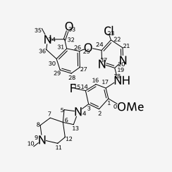 COc1cc(N2CC3(CCN(C)CC3)C2)c(F)cc1Nc1ncc(Cl)c(Oc2cccc3c2C(=O)N(C)C3)n1